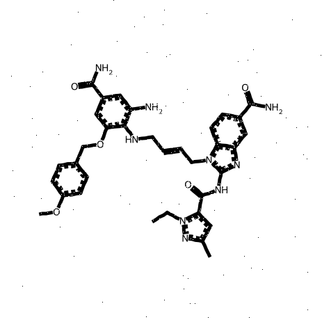 CCn1nc(C)cc1C(=O)Nc1nc2cc(C(N)=O)ccc2n1CC=CCNc1c(N)cc(C(N)=O)cc1OCc1ccc(OC)cc1